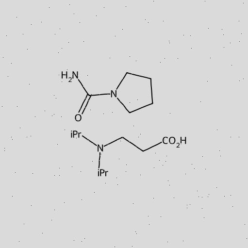 CC(C)N(CCC(=O)O)C(C)C.NC(=O)N1CCCC1